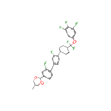 CC1COC(c2ccc(-c3ccc(C4CCC(C(F)(F)Oc5cc(F)c(F)c(F)c5)CC4)c(F)c3)c(F)c2)OC1